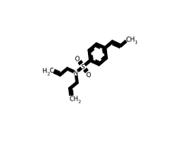 C=CCN(CC=C)S(=O)(=O)c1ccc(/C=C/C)cc1